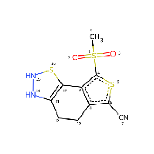 CS(=O)(=O)c1sc(C#N)c2c1C1=C(CC2)NNS1